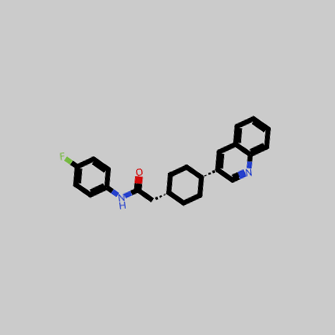 O=C(C[C@H]1CC[C@@H](c2cnc3ccccc3c2)CC1)Nc1ccc(F)cc1